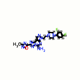 Cc1noc(-c2nc3c4cnn(CCN5CCN(c6ccc(F)cc6F)CC5)c4nc(N)n3n2)n1